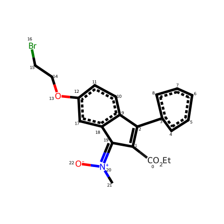 CCOC(=O)C1=C(c2ccccc2)c2ccc(OCCBr)cc2/C1=[N+](/C)[O-]